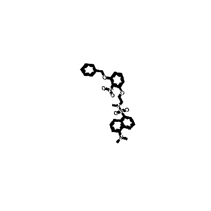 CN(C)c1cccc2c(S(=O)(=O)N(C)CCOc3cccc(OCc4ccccc4)c3[N+](=O)[O-])cccc12